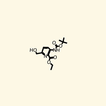 CCOC(=O)c1nc(CO)ccc1NC(=O)OC(C)(C)C